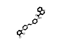 O=C(N[C@H]1CC[C@H](CCN2CCN(c3cccc(Cl)c3Cl)CC2)CC1)c1ccnc2ccccc12